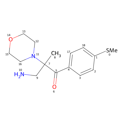 CSc1ccc(C(=O)C(C)(CN)N2CCOCC2)cc1